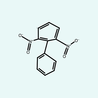 O=[N+]([O-])c1[c]ccc([N+](=O)[O-])c1-c1ccccc1